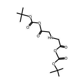 CC(C)(C)OC(=O)OC(=O)CNCC(=O)OC(=O)OC(C)(C)C